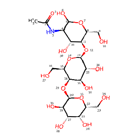 CC(=O)N[C@H]1C(O)O[C@H](CO)[C@@H](O[C@@H]2O[C@H](CO)[C@H](O[C@H]3O[C@H](CO)[C@H](O)[C@H](O)[C@H]3O)[C@H](O)[C@H]2O)[C@@H]1O